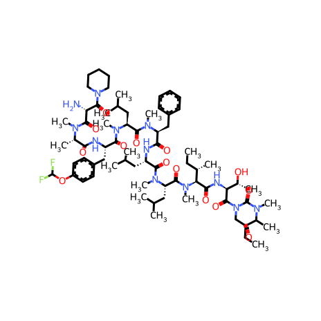 CCCCN(C(=O)[C@@H](NC(=O)[C@H]([C@@H](C)CC)N(C)C(=O)[C@H](CC(C)C)N(C)C(=O)[C@H](CC(C)C)NC(=O)[C@H](Cc1ccccc1)N(C)C(=O)[C@H](CC(C)C)N(C)C(=O)[C@H](Cc1ccc(OC(F)F)cc1)NC(=O)[C@H](C)N(C)C(=O)[C@H](N)C(=O)N1CCCCC1)[C@@H](C)O)C(=O)N(C)C(C)C=O